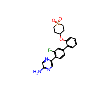 Nc1cnc(-c2ccc(-c3ccccc3OC3CCS(=O)(=O)CC3)cc2F)cn1